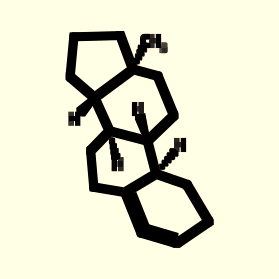 C[C@@]12CCC[C@H]1[C@@H]1CCC3=C=CCC[C@@H]3[C@H]1CC2